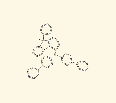 CC1(c2ccccc2)c2ccccc2-c2c(N(c3ccc(-c4ccccc4)cc3)c3ccc(-c4ccccc4)cc3)cccc21